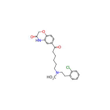 O=C1COc2ccc(C(=O)CCCCCN(CCc3ccccc3Cl)C(=O)O)cc2N1